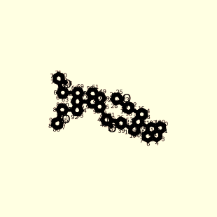 c1cc2ccc3cccc4c(-c5c6cccc(-c7ccc8c(c7)oc7ccccc78)c6cc6c(-c7ccc8c(c7)oc7ccc(-c9cc%10ccc%11cccc%12c(-c%13c%14cccc(-c%15cccc%16c%15oc%15ccccc%15%16)c%14cc%14c(-c%15cccc%16c%15oc%15ccccc%15%16)cccc%13%14)cc(c9)c%10c%11%12)cc78)cccc56)cc(c1)c2c34